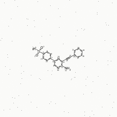 CC(C)S(=O)(=O)c1ccc(-c2cnc(N)c(C#Cc3ccccc3)n2)cc1